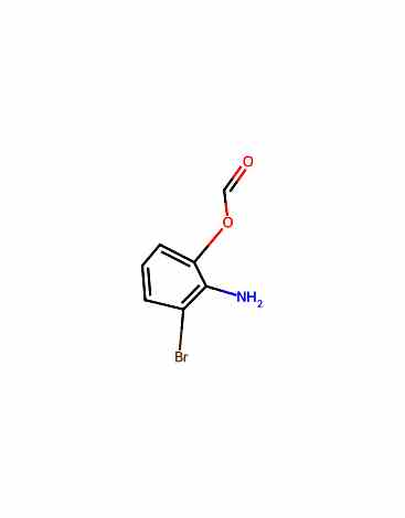 Nc1c(Br)cccc1OC=O